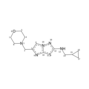 c1c(CN2CCOCC2)nc2sc(NCC3CC3)nn12